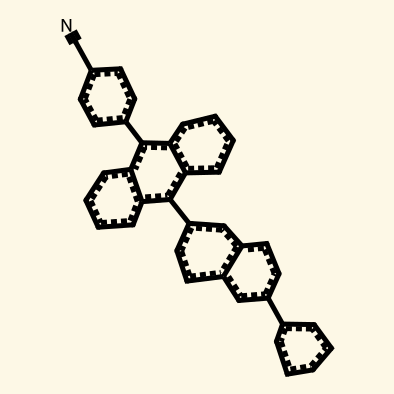 N#Cc1ccc(-c2c3ccccc3c(-c3ccc4cc(-c5ccccc5)ccc4c3)c3ccccc23)cc1